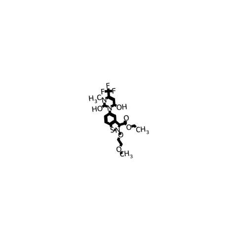 CCOC(=O)C1c2cc(N3C(O)C=C(C(F)(F)F)N(C)C3O)ccc2SN1OCCOC